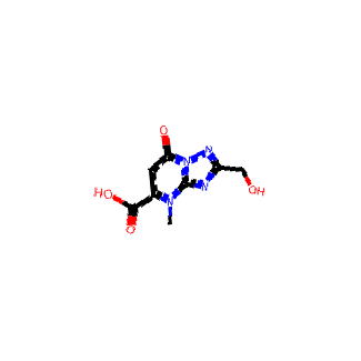 Cn1c(C(=O)O)cc(=O)n2nc(CO)nc12